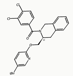 CC(C)(C)c1ccc(OC[C@@H]2Cc3ccccc3CN2C(=O)c2ccc(Cl)c(Cl)c2)nc1